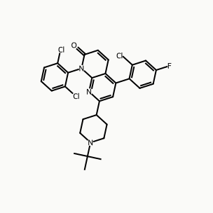 CC(C)(C)N1CCC(c2cc(-c3ccc(F)cc3Cl)c3ccc(=O)n(-c4c(Cl)cccc4Cl)c3n2)CC1